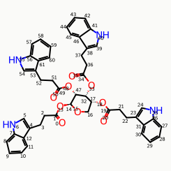 O=C(CCc1c[nH]c2ccccc12)O[C@@H]1OC[C@@H](OC(=O)CCc2c[nH]c3ccccc23)[C@@H](OC(=O)CCc2c[nH]c3ccccc23)[C@H]1OC(=O)CCc1c[nH]c2ccccc12